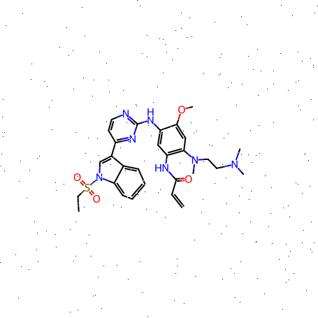 C=CC(=O)Nc1cc(Nc2nccc(-c3cn(S(=O)(=O)CC)c4ccccc34)n2)c(OC)cc1N(C)CCN(C)C